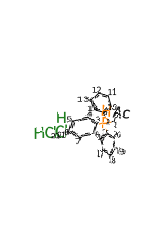 CC(=O)C[PH](c1ccccc1)(c1ccccc1)c1ccccc1.Cl.Cl